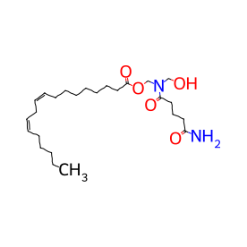 CCCCC/C=C\C/C=C\CCCCCCCC(=O)OCN(CO)C(=O)CCCC(N)=O